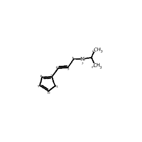 C[CH](C)[Ni][CH2]C=CC1=CC=CC1